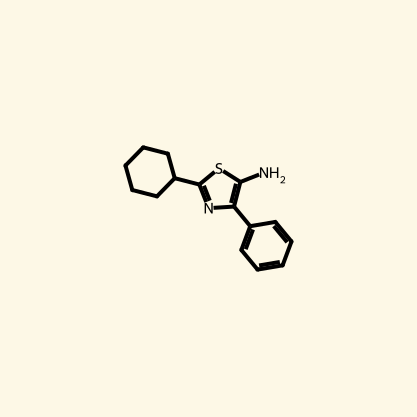 Nc1sc(C2CCCCC2)nc1-c1ccccc1